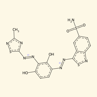 Cc1nsc(/N=N/c2c(O)ccc(/N=N/c3snc4ccc(S(N)(=O)=O)cc34)c2O)n1